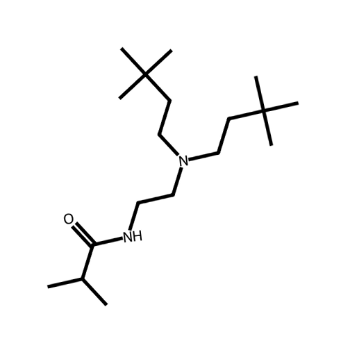 CC(C)C(=O)NCCN(CCC(C)(C)C)CCC(C)(C)C